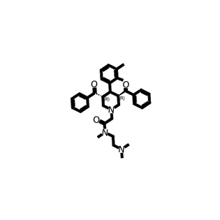 Cc1cccc(C2[C@@H](C(=O)c3ccccc3)CN(CC(=O)N(C)CCN(C)C)C[C@@H]2C(=O)c2ccccc2)c1C